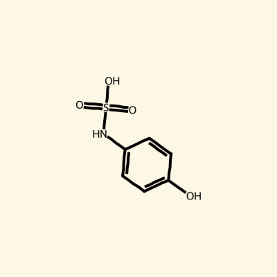 O=S(=O)(O)Nc1ccc(O)cc1